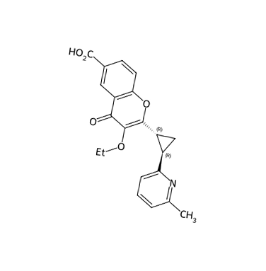 CCOc1c([C@@H]2C[C@H]2c2cccc(C)n2)oc2ccc(C(=O)O)cc2c1=O